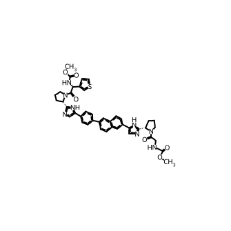 COC(=O)NCC(=O)N1CCC[C@H]1c1ncc(-c2ccc3cc(-c4ccc(-c5cnc([C@@H]6CCCN6C(=O)[C@@H](NC(=O)OC)c6ccsc6)[nH]5)cc4)ccc3c2)[nH]1